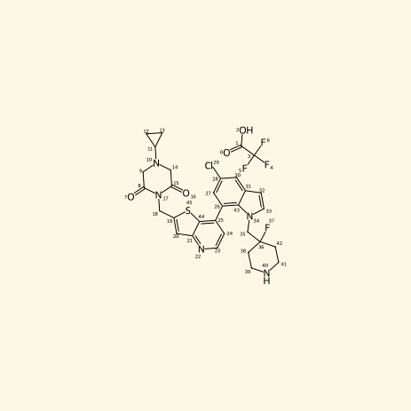 O=C(O)C(F)(F)F.O=C1CN(C2CC2)CC(=O)N1Cc1cc2nccc(-c3cc(Cl)cc4ccn(CC5(F)CCNCC5)c34)c2s1